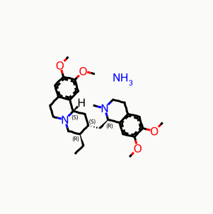 CC[C@H]1CN2CCc3cc(OC)c(OC)cc3[C@@H]2C[C@@H]1C[C@@H]1c2cc(OC)c(OC)cc2CCN1C.N